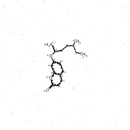 CCC(C)CCC(C)Oc1ccc2ccc(=O)oc2c1